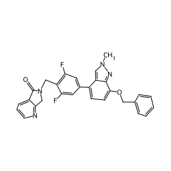 Cn1cc2c(-c3cc(F)c(CN4Cc5ncccc5C4=O)c(F)c3)ccc(OCc3ccccc3)c2n1